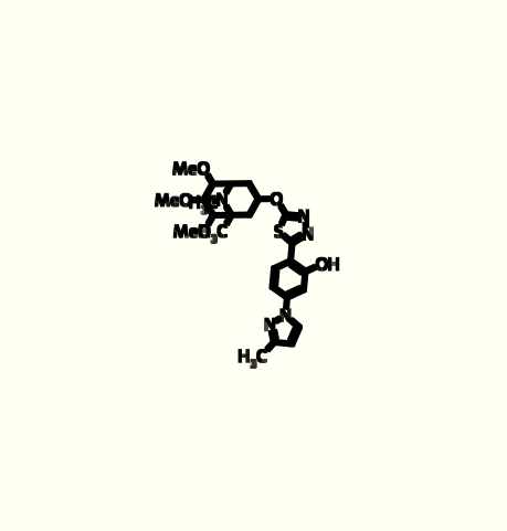 COC1C(OC)C(OC)C2(C)CC(Oc3nnc(-c4ccc(-n5ccc(C)n5)cc4O)s3)CC1N2C